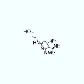 CNc1nc(NCCCO)cc(C(C)C)c1C(C)=N